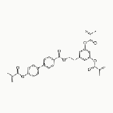 C=C(C)C(=O)Oc1ccc(-c2ccc(C(=O)OCCc3cc(OC(=O)C(=C)C)cc(OC(=O)C(=C)C)c3)cc2)cc1